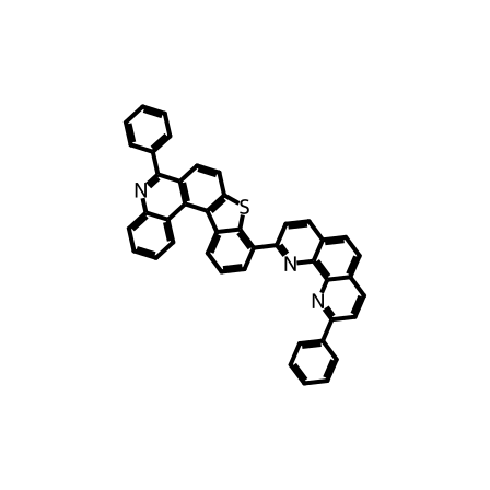 c1ccc(-c2ccc3ccc4ccc(-c5cccc6c5sc5ccc7c(-c8ccccc8)nc8ccccc8c7c56)nc4c3n2)cc1